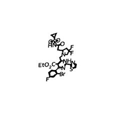 CCOC(=O)C1=C(CN2CC(F)(F)CC2CC(=O)NS(=O)(=O)C2CC2)NC(c2nccs2)=N[C@H]1c1ccc(F)cc1Br